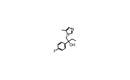 CCC(O)(Cn1cncc1C)c1ccc(F)cc1